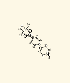 CN1CC=C(c2ccc(B3OC(C)(C)C(C)(C)O3)cc2)CC1